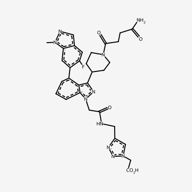 Cn1ncc2cc(F)c(-c3cccc4c3c(C3CCN(C(=O)CCC(N)=O)CC3)nn4CC(=O)NCc3cn(CC(=O)O)nn3)cc21